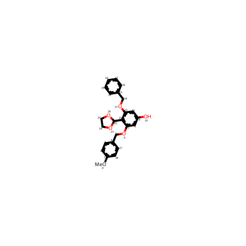 COc1ccc(COc2cc(O)cc(OCc3ccccc3)c2C2OCCO2)cc1